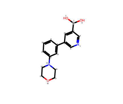 OB(O)c1cncc(-c2cccc(N3CCOCC3)c2)c1